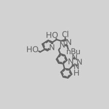 CCCCc1nc(Cl)c(C(O)c2ccc(CO)cn2)n1Cc1ccc(-c2ccccc2-c2nnn[nH]2)cc1